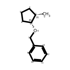 C[C@H]1CCC[C@H]1OCc1ccccc1